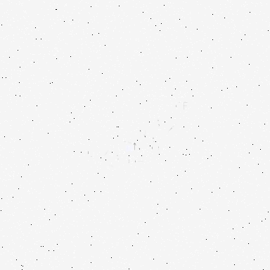 C/C(=N\NC(=O)c1ccc(C(F)(F)F)cc1)c1cc(C(F)(F)F)ccc1O